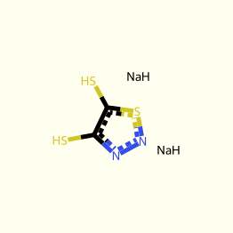 Sc1nnsc1S.[NaH].[NaH]